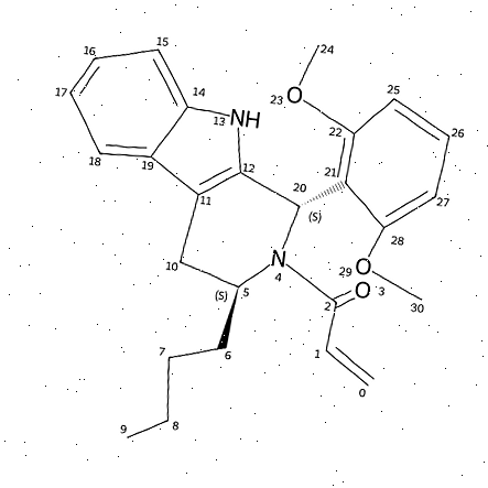 C=CC(=O)N1[C@@H](CCCC)Cc2c([nH]c3ccccc23)[C@@H]1c1c(OC)cccc1OC